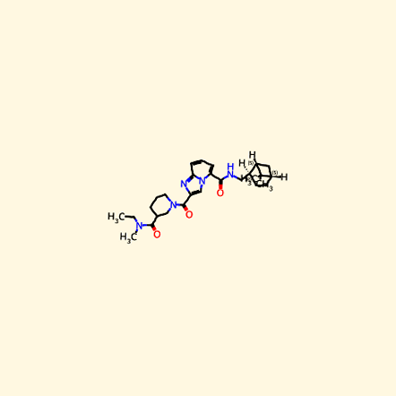 CCN(C)C(=O)C1CCCN(C(=O)c2cn3c(C(=O)NC[C@@H]4CC[C@H]5C[C@@H]4C5(C)C)cccc3n2)C1